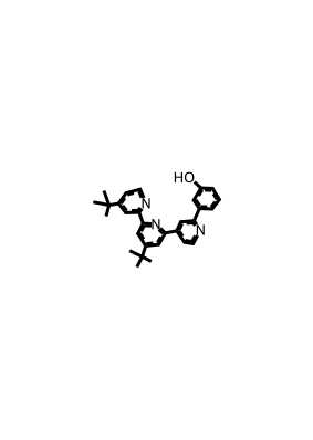 CC(C)(C)c1ccnc(-c2cc(C(C)(C)C)cc(-c3ccnc(-c4cccc(O)c4)c3)n2)c1